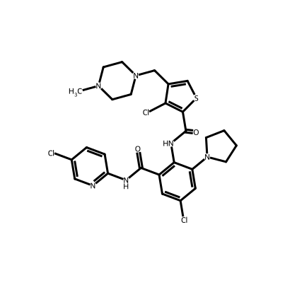 CN1CCN(Cc2csc(C(=O)Nc3c(C(=O)Nc4ccc(Cl)cn4)cc(Cl)cc3N3CCCC3)c2Cl)CC1